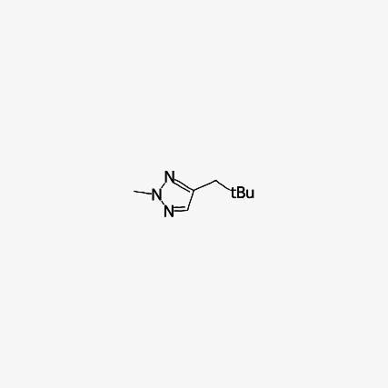 Cn1ncc(CC(C)(C)C)n1